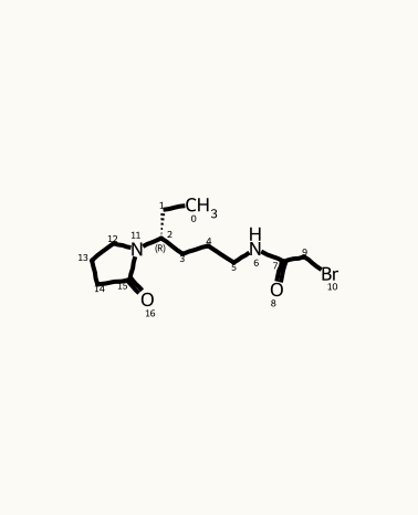 CC[C@H](CCCNC(=O)CBr)N1CCCC1=O